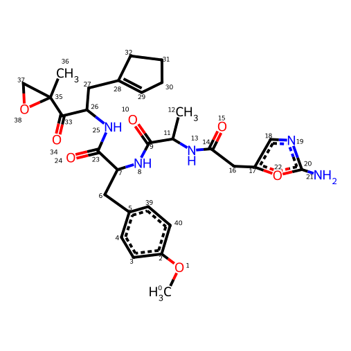 COc1ccc(CC(NC(=O)C(C)NC(=O)Cc2cnc(N)o2)C(=O)NC(CC2=CCCC2)C(=O)C2(C)CO2)cc1